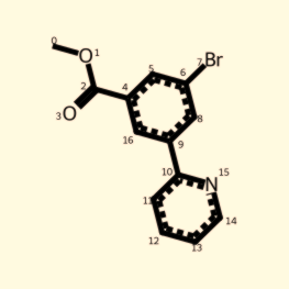 COC(=O)c1cc(Br)cc(-c2ccccn2)c1